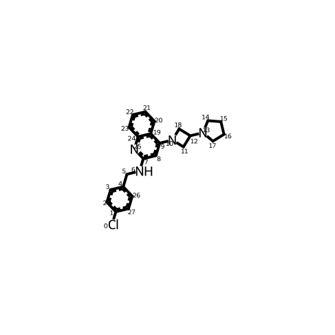 Clc1ccc(CNc2cc(N3CC(N4CCCC4)C3)c3ccccc3n2)cc1